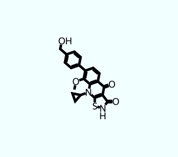 COc1c(-c2ccc(CO)cc2)ccc2c(=O)c3c(=O)[nH]sc3n(C3CC3)c12